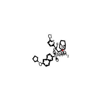 NC1CC2CCC(C1)N2C(=O)C(NS(=O)(=O)c1ccc2cc(OC3CCCC3)ccc2c1)C(F)(F)c1ccc(Cl)s1